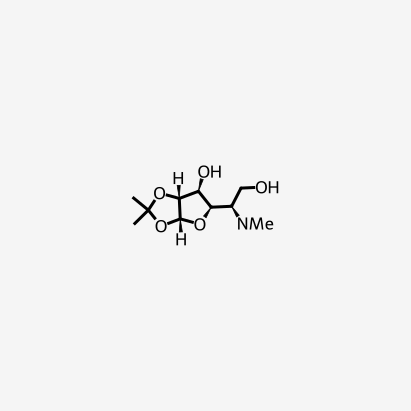 CN[C@H](CO)[C@H]1O[C@@H]2OC(C)(C)O[C@@H]2[C@H]1O